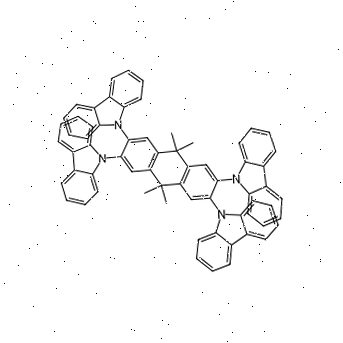 CC1(C)c2cc(-n3c4ccccc4c4ccccc43)c(-n3c4ccccc4c4ccccc43)cc2C(C)(C)c2cc(-n3c4ccccc4c4ccccc43)c(-n3c4ccccc4c4ccccc43)cc21